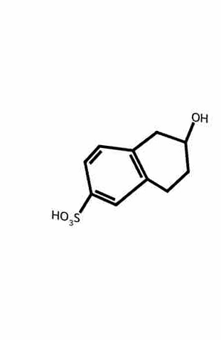 O=S(=O)(O)c1ccc2c(c1)CCC(O)C2